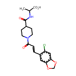 CC(NC(=O)C1CCN(C(=O)C=Cc2cc3c(cc2Cl)OCO3)CC1)C(=O)O